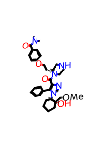 COC[C@]1(O)CCCC[C@H]1n1cnc(C(=O)N2CCNC[C@H]2CCOc2ccc(C(=O)N(C)C)cc2)c1-c1ccccc1